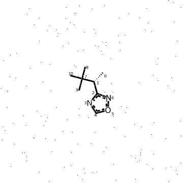 C[C@H](c1ncon1)C(C)(C)C